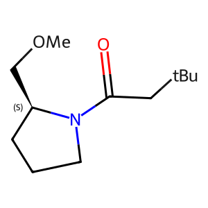 COC[C@@H]1CCCN1C(=O)CC(C)(C)C